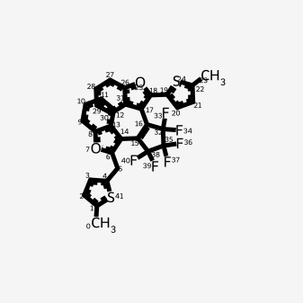 Cc1ccc(Cc2oc3ccccc3c2C2=C(c3c(-c4ccc(C)s4)oc4ccccc34)C(F)(F)C(F)(F)C2(F)F)s1